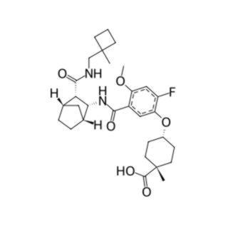 COc1cc(F)c(O[C@H]2CC[C@@](C)(C(=O)O)CC2)cc1C(=O)N[C@@H]1[C@@H]2CC[C@@H](C2)[C@@H]1C(=O)NCC1(C)CCC1